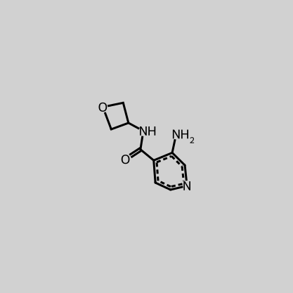 Nc1cnccc1C(=O)NC1COC1